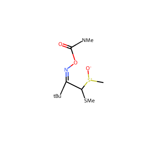 CNC(=O)ON=C(C(SC)[S+](C)[O-])C(C)(C)C